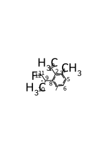 CCc1c(C)cccc1[C](C)CF